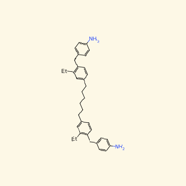 CCc1cc(CCCCCCc2ccc(Cc3ccc(N)cc3)c(CC)c2)ccc1Cc1ccc(N)cc1